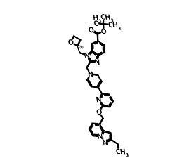 CCc1cc2c(COc3cccc(C4=CCN(Cc5nc6ccc(C(=O)OC(C)(C)C)cc6n5C[C@@H]5CCO5)C=C4)n3)cccn2n1